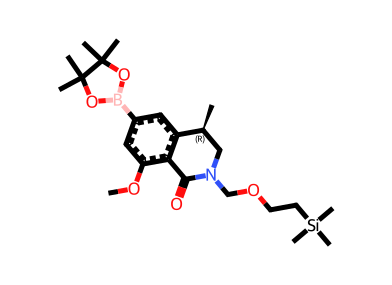 COc1cc(B2OC(C)(C)C(C)(C)O2)cc2c1C(=O)N(COCC[Si](C)(C)C)C[C@@H]2C